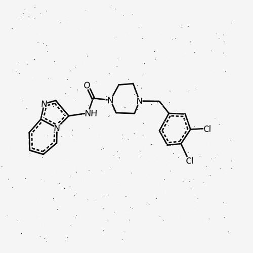 O=C(Nc1cnc2ccccn12)N1CCN(Cc2ccc(Cl)c(Cl)c2)CC1